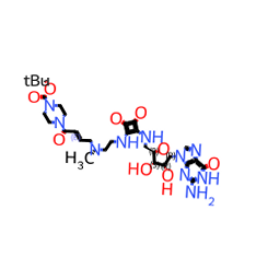 CN(C/C=C/C(=O)N1CCN(C(=O)OC(C)(C)C)CC1)CCNc1c(NC[C@H]2O[C@@H](n3cnc4c(=O)[nH]c(N)nc43)[C@H](O)[C@@H]2O)c(=O)c1=O